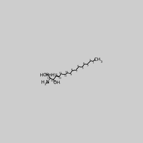 CCCCCCCCCCCCC/C=C/[C@@H](O)[C@@H](N)[InH][OH]